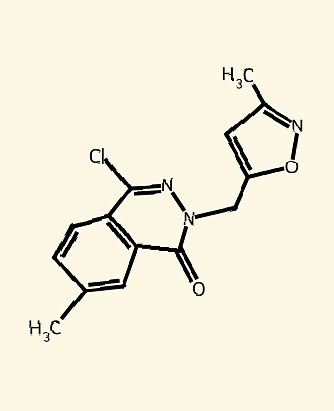 Cc1ccc2c(Cl)nn(Cc3cc(C)no3)c(=O)c2c1